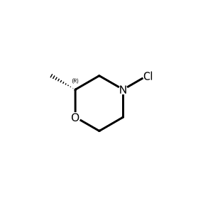 C[C@@H]1CN(Cl)CCO1